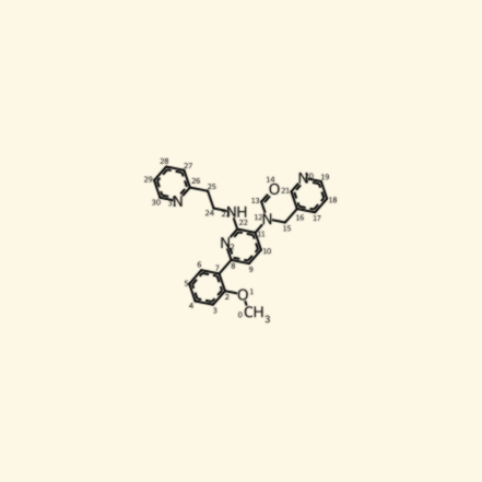 COc1ccccc1-c1ccc(N(C=O)Cc2cccnc2)c(NCCc2ccccn2)n1